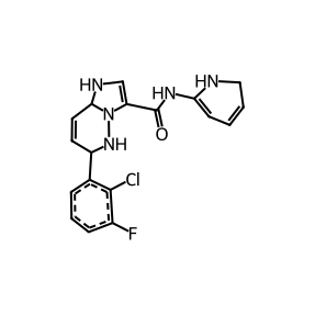 O=C(NC1=CC=CCN1)C1=CNC2C=CC(c3cccc(F)c3Cl)NN12